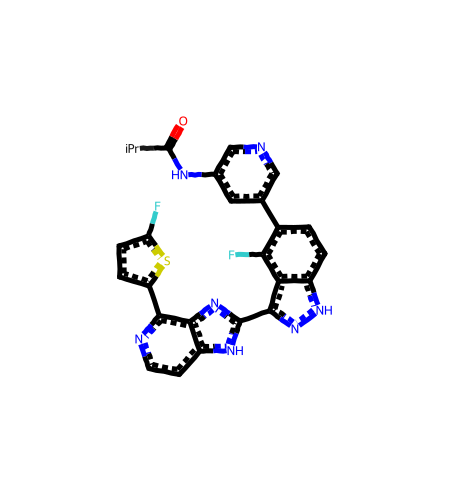 CC(C)C(=O)Nc1cncc(-c2ccc3[nH]nc(-c4nc5c(-c6ccc(F)s6)nccc5[nH]4)c3c2F)c1